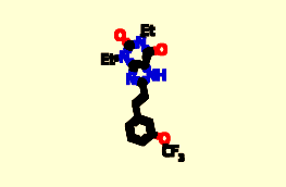 CCn1c(=O)c2[nH]c(/C=C/c3cccc(OC(F)(F)F)c3)nc2n(CC)c1=O